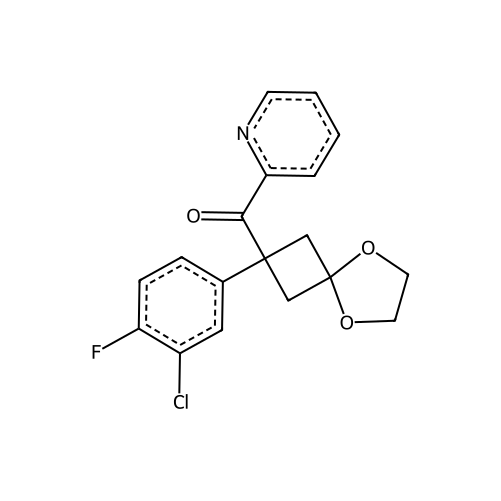 O=C(c1ccccn1)C1(c2ccc(F)c(Cl)c2)CC2(C1)OCCO2